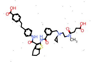 CN(CCN(Cc1cccc(C(=O)Nc2sc3c(c2C(=O)Nc2ccc(CCc4ccc(C(=O)O)cc4)cc2)CCCC3)c1)C1CC1)C(=O)CCC(=O)O